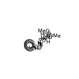 COc1ccc(OC)c(N2C(=O)NC3(CCN(C(=O)Nc4cccc(-c5cn(CC(C)(C)COCC(C)(C)CC(=O)NC6(C)CCCCCCCCCCCCCCCCCCC6)nn5)c4)CC3)C2=O)c1